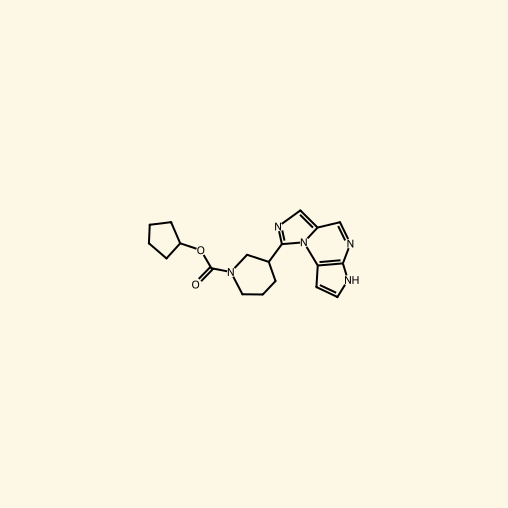 O=C(OC1CCCC1)N1CCCC(c2ncc3cnc4[nH]ccc4n23)C1